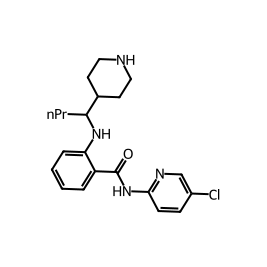 CCCC(Nc1ccccc1C(=O)Nc1ccc(Cl)cn1)C1CCNCC1